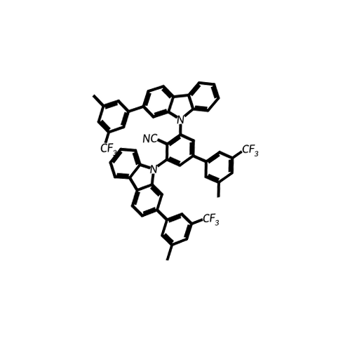 Cc1cc(-c2cc(-n3c4ccccc4c4ccc(-c5cc(C)cc(C(F)(F)F)c5)cc43)c(C#N)c(-n3c4ccccc4c4ccc(-c5cc(C)cc(C(F)(F)F)c5)cc43)c2)cc(C(F)(F)F)c1